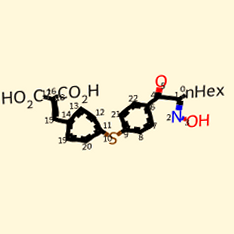 CCCCCCC(=NO)C(=O)c1ccc(Sc2ccc(C=C(C(=O)O)C(=O)O)cc2)cc1